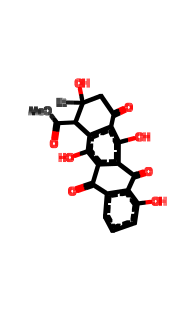 CCC1(O)CC(=O)c2c(O)c3c(c(O)c2C1C(=O)OC)C(=O)c1cccc(O)c1C3=O